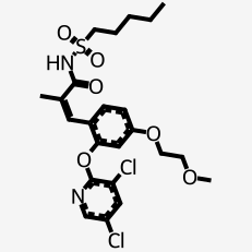 CCCCCS(=O)(=O)NC(=O)C(C)=Cc1ccc(OCCOC)cc1Oc1ncc(Cl)cc1Cl